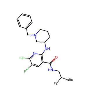 CCCCC(CC)CNC(=O)c1cc(F)c(Cl)nc1NC1CCCN(Cc2ccccc2)C1